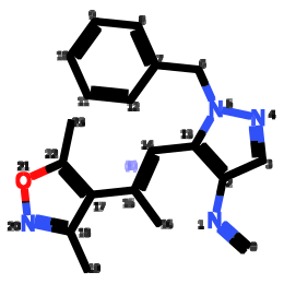 C=Nc1cnn(Cc2ccccc2)c1/C=C(\C)c1c(C)noc1C